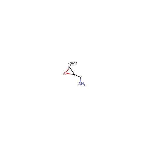 CNC1OC1CN